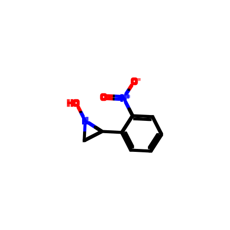 O=[N+]([O-])c1ccccc1C1CN1O